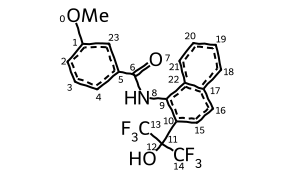 COc1cccc(C(=O)Nc2c(C(O)(C(F)(F)F)C(F)(F)F)ccc3ccccc23)c1